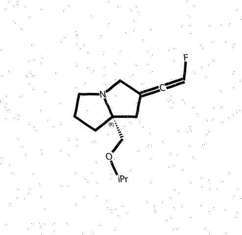 CC(C)OC[C@]12CCCN1CC(=C=CF)C2